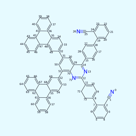 N#Cc1ccccc1C1=CC=C(c2nc(-c3ccc(-c4ccccc4C#N)cc3)c3cc(-c4ccc5c6ccccc6c6ccccc6c5c4)cc(-c4ccc5c6ccccc6c6ccccc6c5c4)c3n2)CC1